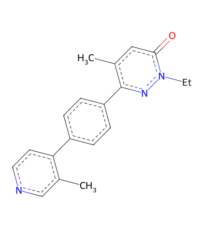 CCn1nc(-c2ccc(-c3ccncc3C)cc2)c(C)cc1=O